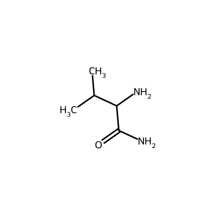 CC(C)C(N)C(N)=O